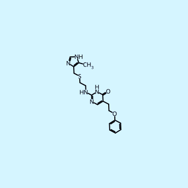 Cc1[nH]cnc1CSCCNc1ncc(CCOc2ccccc2)c(=O)[nH]1